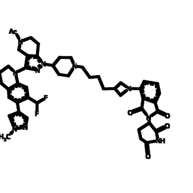 CC(=O)N1CCc2c(c(N3CCCc4cc(-c5cnn(C)c5)c(C(F)F)cc43)nn2C2CCN(CCCCC3CN(c4cccc5c4C(=O)N(C4CCC(=O)NC4=O)C5=O)C3)CC2)C1